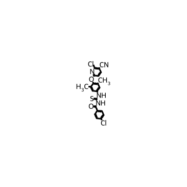 Cc1cc(NC(=S)NC(=O)c2ccc(Cl)cc2)cc(C)c1Oc1ccc(C#N)c(Cl)n1